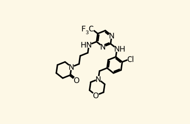 O=C1CCCCN1CCCNc1nc(Nc2cc(CN3CCOCC3)ccc2Cl)ncc1C(F)(F)F